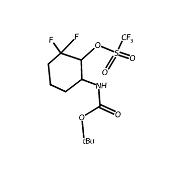 CC(C)(C)OC(=O)NC1CCCC(F)(F)C1OS(=O)(=O)C(F)(F)F